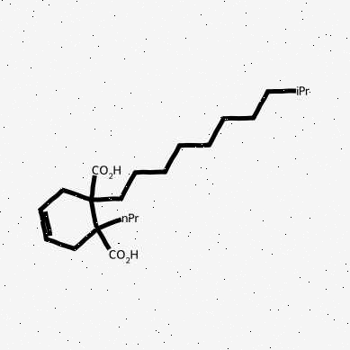 CCCC1(C(=O)O)CC=CCC1(CCCCCCCCC(C)C)C(=O)O